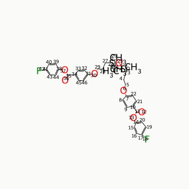 C[Si](C)(CCCOc1ccc(C(=O)Oc2ccc(F)cc2)cc1)O[Si](C)(C)CCCOc1ccc(C(=O)Oc2ccc(F)cc2)cc1